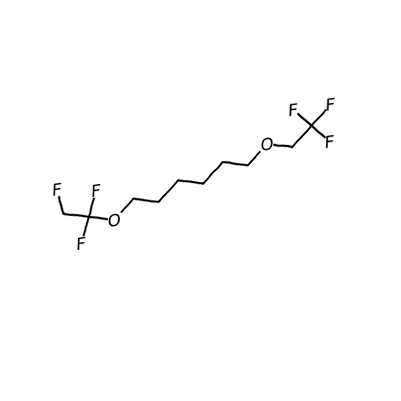 FCC(F)(F)OCCCCCCOCC(F)(F)F